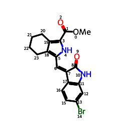 COC(=O)c1[nH]c(C=C2C(=O)Nc3cc(Br)ccc32)c2c1CCCC2